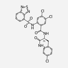 NC(=O)[C@H](Cc1ccc(Cl)cc1)NC(=O)c1cc(Cl)c(Cl)cc1NS(=O)(=O)c1cccc2nsnc12